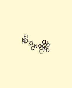 CCc1cc(-c2ccc(C(=O)NCC(=O)C3CCCCC3N3C[C@H](Cl)[C@H]4OCC(=O)[C@H]43)s2)cnn1